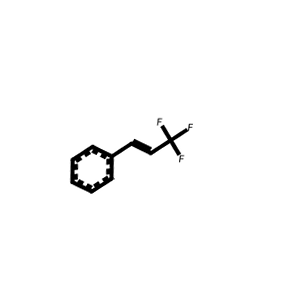 FC(F)(F)C=Cc1[c]cccc1